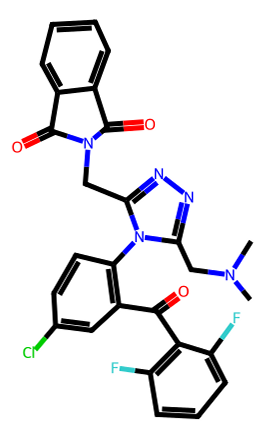 CN(C)Cc1nnc(CN2C(=O)c3ccccc3C2=O)n1-c1ccc(Cl)cc1C(=O)c1c(F)cccc1F